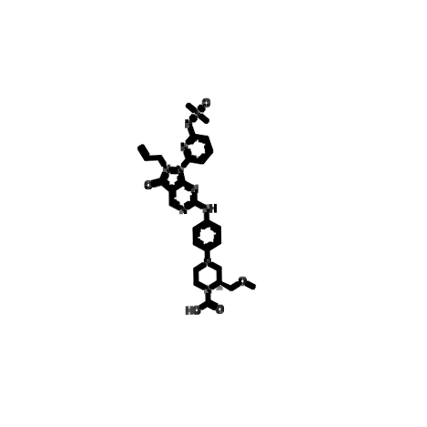 C=CCn1c(=O)c2cnc(Nc3ccc(N4CCN(C(=O)O)[C@H](COC)C4)cc3)nc2n1-c1cccc(N=S(C)(C)=O)n1